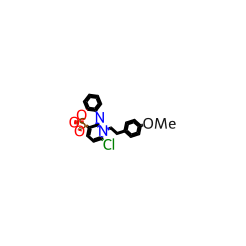 COc1ccc(CCN2C(Cl)=CC=C3C2=Nc2ccccc2OS3(=O)=O)cc1